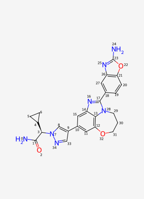 NC(=O)[C@@H](C1CC1)n1cc(-c2cc3c4c(c2)nc(-c2ccc5oc(N)nc5c2)n4CCCO3)cn1